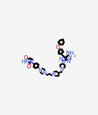 Nc1ncnc2c1c(-c1ccc(Oc3ccccc3)cc1)nn2C1CCN(CC2CCN(CCCN3CCN(c4ccc(-n5ccc(=O)[nH]c5=O)cc4)CC3)CC2)CC1